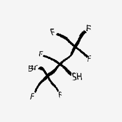 FC(F)(F)C(F)(S)C(F)(F)Br